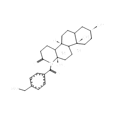 C[C@]12CC[C@H](O)CC1CC[C@@H]1[C@@H]2CC[C@@]2(C)[C@H]1CCC(=O)N2C(=O)c1ccc(CO)cc1